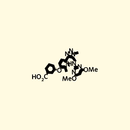 COc1cc(OC)nc(NCc2c(-c3ccc(O[C@H]4CCC[C@H](C(=O)O)C4)c(C)n3)nnn2C)n1